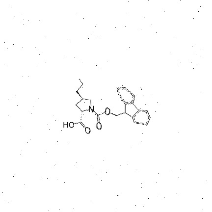 CCC[C@@H]1C[C@@H](C(=O)O)N(C(=O)OCC2c3ccccc3-c3ccccc32)C1